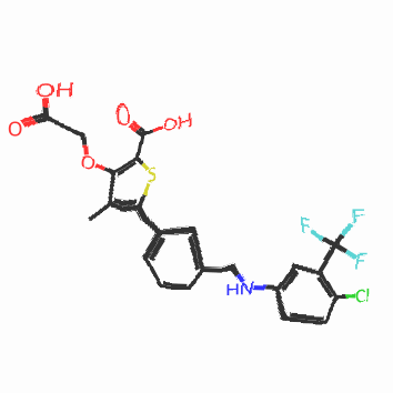 Cc1c(-c2cccc(CNc3ccc(Cl)c(C(F)(F)F)c3)c2)sc(C(=O)O)c1OCC(=O)O